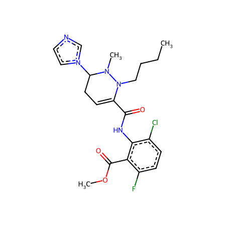 CCCCN1C(C(=O)Nc2c(Cl)ccc(F)c2C(=O)OC)=CCC(n2ccnc2)N1C